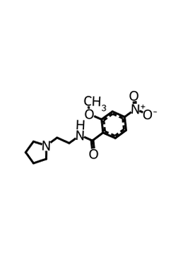 COc1cc([N+](=O)[O-])ccc1C(=O)NCCN1CCCC1